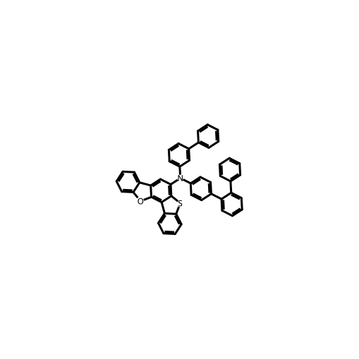 c1ccc(-c2cccc(N(c3ccc(-c4ccccc4-c4ccccc4)cc3)c3cc4c5ccccc5oc4c4c3sc3ccccc34)c2)cc1